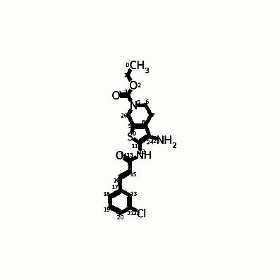 CCOC(=O)N1CCc2c(sc(NC(=O)/C=C/c3cccc(Cl)c3)c2N)C1